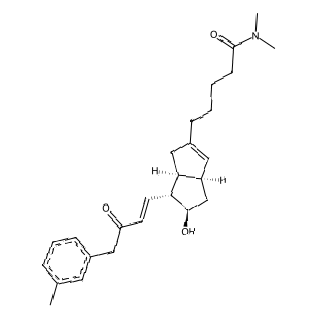 Cc1cccc(CC(=O)/C=C/[C@@H]2[C@H]3CC(CCCCC(=O)N(C)C)=C[C@H]3C[C@H]2O)c1